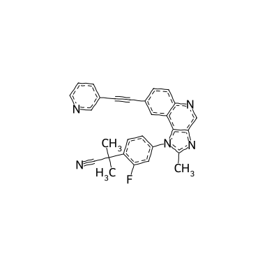 Cc1nc2cnc3ccc(C#Cc4cccnc4)cc3c2n1-c1ccc(C(C)(C)C#N)c(F)c1